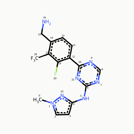 Cn1ccc(Nc2ncnc(-c3ccc(CN)c(C(F)(F)F)c3F)n2)n1